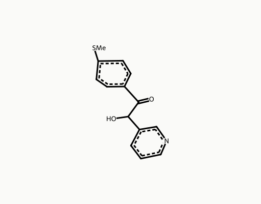 CSc1ccc(C(=O)C(O)c2cccnc2)cc1